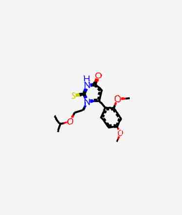 COc1ccc(-c2cc(=O)[nH]c(=S)n2CCOC(C)C)c(OC)c1